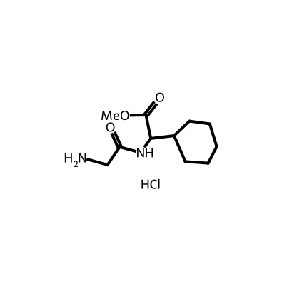 COC(=O)C(NC(=O)CN)C1CCCCC1.Cl